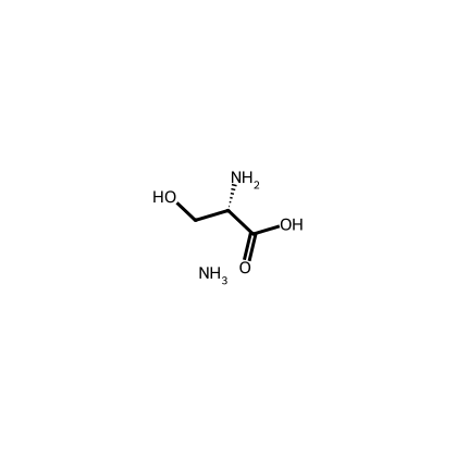 N.N[C@@H](CO)C(=O)O